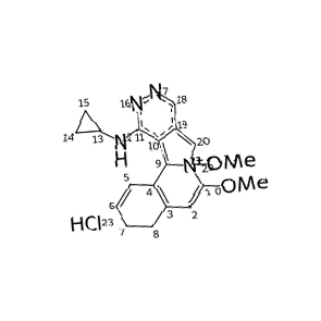 COC1=CC2=C(C=CCC2)C2=c3c(NC4CC4)nncc3=C[N+]12OC.Cl